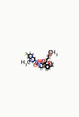 CNCC(CC1CCC(F)CC1)NC(=O)N1CCC[C@@H]([C@@](O)(CCCCOC)c2cccc3c2OCC3)C1